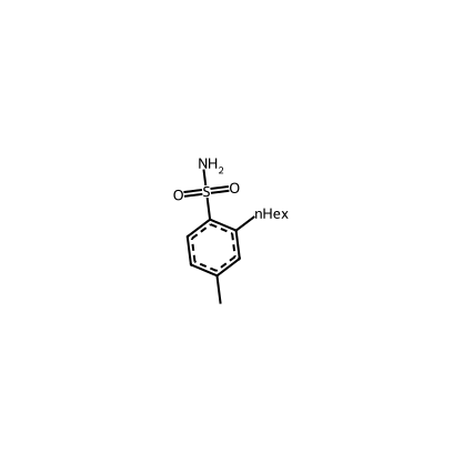 CCCCCCc1cc(C)ccc1S(N)(=O)=O